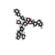 c1ccc(N(c2ccc(-c3ccc4sc5c(ccc6c7ccccc7ccc65)c4c3)c(N(c3ccccc3)c3ccc(-c4ccc5ccccc5c4)cc3)c2)c2ccc3c(c2)c2ccc4ccccc4c2n3-c2ccccc2)cc1